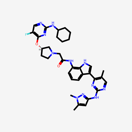 Cc1cnc(Nc2cc(C)n(C)n2)nc1-c1c[nH]c2c(NC(=O)CN3CC[C@H](Oc4nc(NC5CCCCC5)ncc4F)C3)cccc12